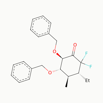 CC[C@@H]1[C@@H](C)[C@H](OCc2ccccc2)[C@@H](OCc2ccccc2)C(=O)C1(F)F